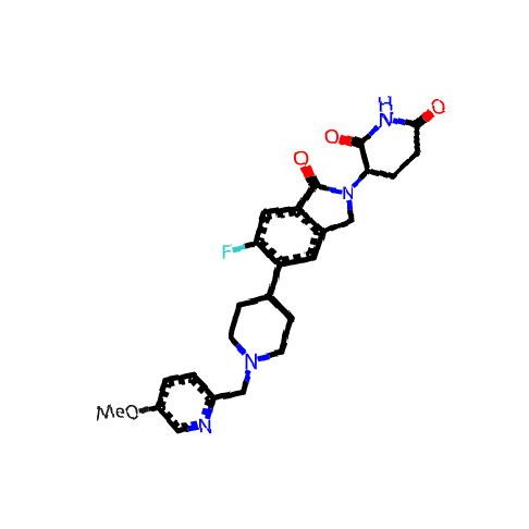 COc1ccc(CN2CCC(c3cc4c(cc3F)C(=O)N(C3CCC(=O)NC3=O)C4)CC2)nc1